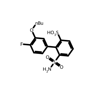 CCCCOc1cc(-c2c(S(N)(=O)=O)cccc2S(=O)(=O)O)ccc1F